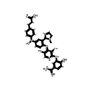 CN1CC=NC1c1cc([S+]([O-])c2ccc(CCC(=O)O)cc2)ccc1Oc1c(F)cnc(Oc2cc(C(=N)N)ccc2O)c1F